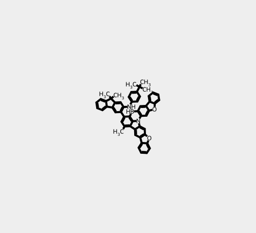 Cc1cc(-c2cc3c(cc2Nc2ccc(C(C)(C)C)cc2)C(C)(C)c2ccccc2-3)c2c3c1c1cc4c(cc1n3-c1cc3oc5ccccc5c3cc1B2)oc1ccccc14